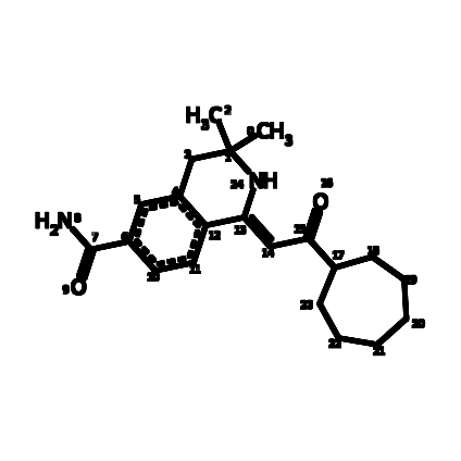 CC1(C)Cc2cc(C(N)=O)ccc2C(=CC(=O)C2CCCCCC2)N1